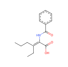 CCCC(CC)=C(NC(=O)c1ccccc1)C(=O)O